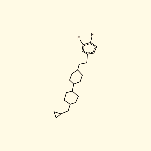 Fc1ccc(CCC2CCC(C3CCC(CC4CC4)CC3)CC2)cc1F